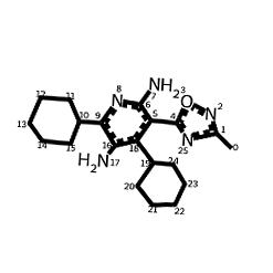 Cc1noc(-c2c(N)nc(C3CCCCC3)c(N)c2C2CCCCC2)n1